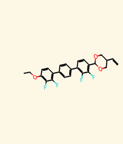 C=CC1COC(c2ccc(-c3ccc(-c4ccc(OCC)c(F)c4F)cc3)c(F)c2F)OC1